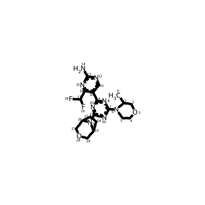 CC1COCCN1c1nc(-c2cnc(N)nc2C(F)F)nc(N2C3CCC2COC3)n1